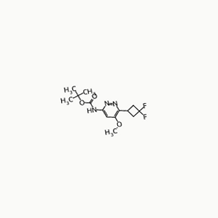 COc1cc(NC(=O)OC(C)(C)C)nnc1C1CC(F)(F)C1